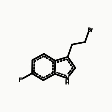 Fc1ccc2c(CCBr)c[nH]c2c1